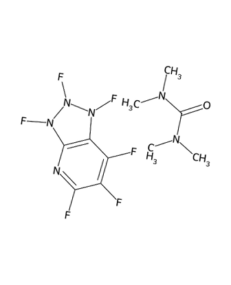 CN(C)C(=O)N(C)C.Fc1nc2c(c(F)c1F)N(F)N(F)N2F